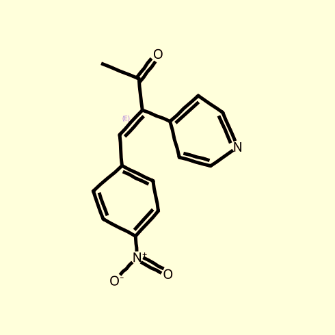 CC(=O)/C(=C/c1ccc([N+](=O)[O-])cc1)c1ccncc1